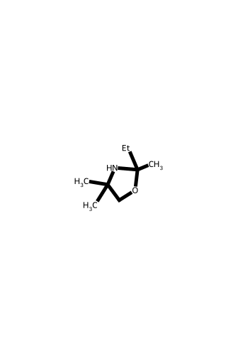 CCC1(C)NC(C)(C)CO1